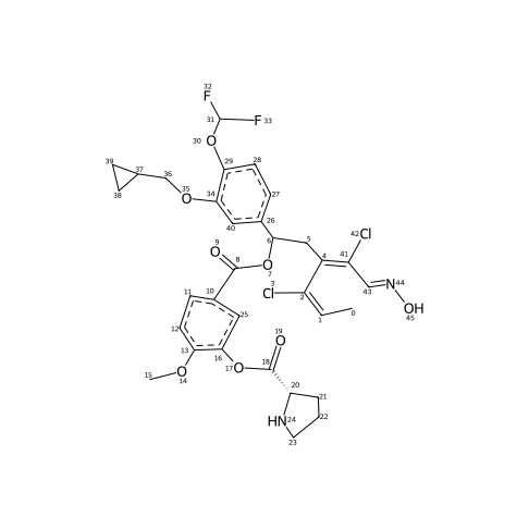 C\C=C(Cl)/C(CC(OC(=O)c1ccc(OC)c(OC(=O)[C@@H]2CCCN2)c1)c1ccc(OC(F)F)c(OCC2CC2)c1)=C(Cl)\C=N\O